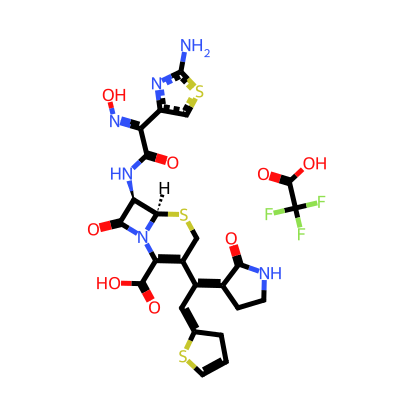 Nc1nc(C(=NO)C(=O)N[C@@H]2C(=O)N3C(C(=O)O)=C(C(C=C4CC=CS4)=C4CCNC4=O)CS[C@H]23)cs1.O=C(O)C(F)(F)F